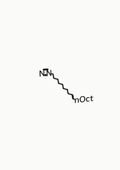 CCCCCCCCC=CCCCCCCCCn1ccnc1